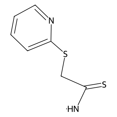 [NH]C(=S)CSc1ccccn1